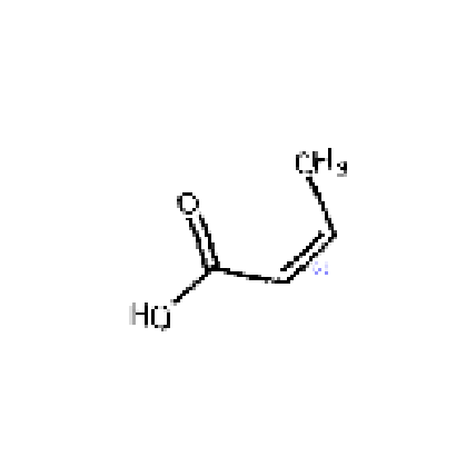 C/C=C\C(=O)O